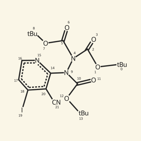 CC(C)(C)OC(=O)N(C(=O)OC(C)(C)C)N(C(=O)OC(C)(C)C)c1nccc(I)c1C#N